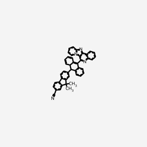 CC1(C)c2cc(C#N)ccc2-c2ccc(C3c4ccccc4C(c4nc5ccccc5c5nc6ccccn6c45)=C4C=CC=CC43)cc21